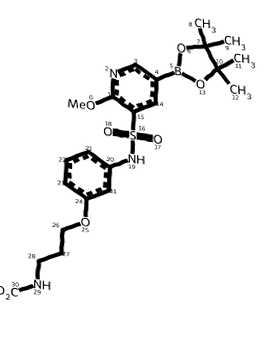 COc1ncc(B2OC(C)(C)C(C)(C)O2)cc1S(=O)(=O)Nc1cccc(OCCCNC(=O)O)c1